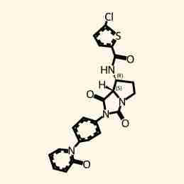 O=C(N[C@@H]1CCN2C(=O)N(c3ccc(-n4ccccc4=O)cc3)C(=O)[C@H]12)c1ccc(Cl)s1